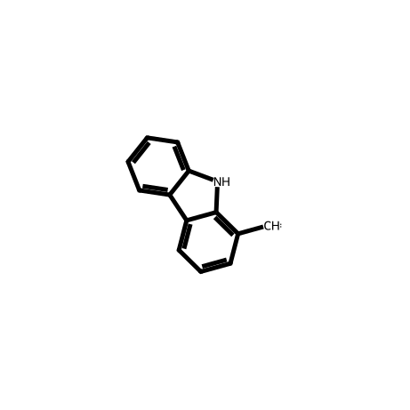 [CH]c1cccc2c1[nH]c1ccccc12